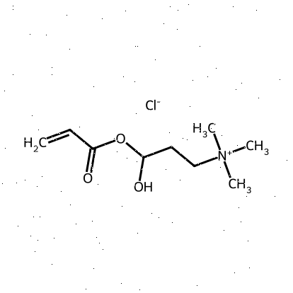 C=CC(=O)OC(O)CC[N+](C)(C)C.[Cl-]